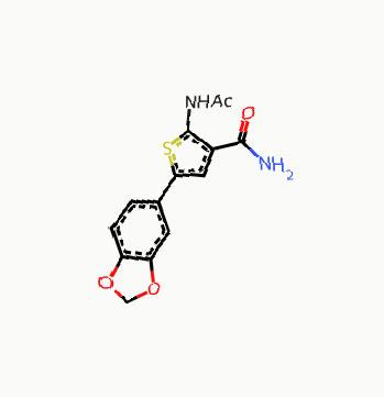 CC(=O)Nc1sc(-c2ccc3c(c2)OCO3)cc1C(N)=O